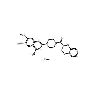 CC(=O)O.COc1cc2nc(N3CCN(C(=O)C4COc5ccccc5O4)CC3)nc(N)c2cc1OC